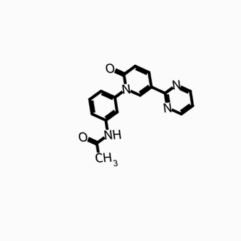 CC(=O)Nc1cccc(-n2cc(-c3ncccn3)ccc2=O)c1